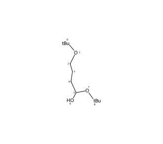 CC(C)(C)OCCCC(O)OC(C)(C)C